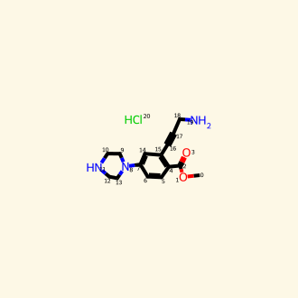 COC(=O)c1ccc(N2CCNCC2)cc1C#CCN.Cl